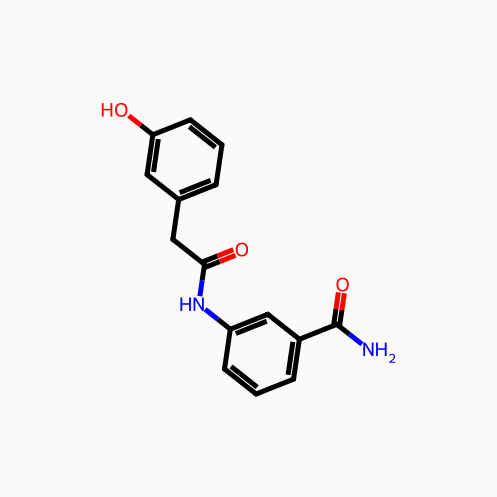 NC(=O)c1cccc(NC(=O)Cc2cccc(O)c2)c1